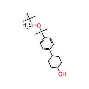 CC(C)(C)[SiH2]OC(C)(C)c1ccc(C2CCC(O)CC2)cc1